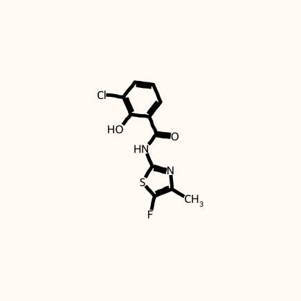 Cc1nc(NC(=O)c2cccc(Cl)c2O)sc1F